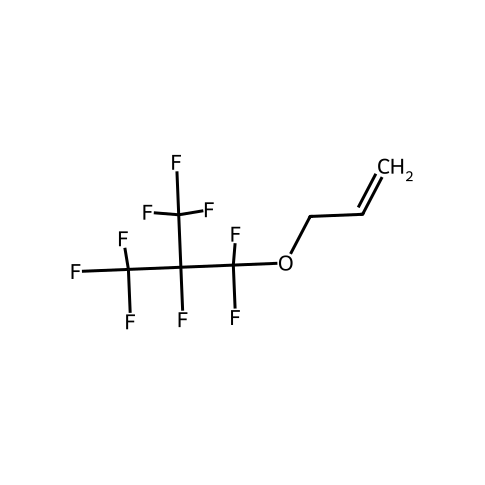 C=CCOC(F)(F)C(F)(C(F)(F)F)C(F)(F)F